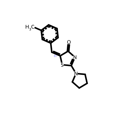 Cc1cccc(/C=C2/SC(N3CCCC3)=NC2=O)c1